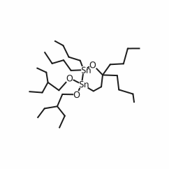 CCCCC1(CCCC)C[CH2][Sn]([O]CC(CC)CC)([O]CC(CC)CC)[Sn]([CH2]CCC)([CH2]CCC)[O]1